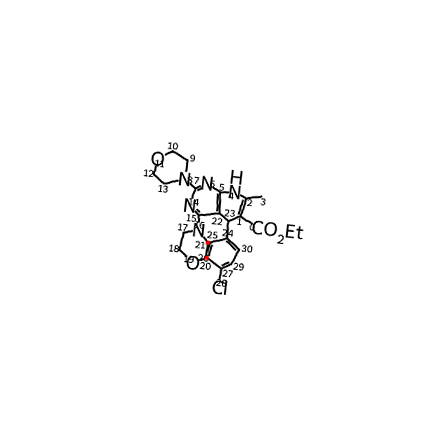 CCOC(=O)C1=C(C)Nc2nc(N3CCOCC3)nc(N3CCOCC3)c2C1c1ccc(Cl)cc1